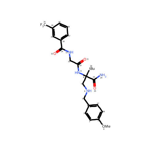 COc1ccc(CNCC(NC(=O)CNC(=O)c2cccc(C(F)(F)F)c2)(C(N)=O)C(C)(C)C)cc1